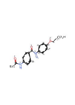 CCC(=O)Nc1ccc(C(=O)Nc2ccc(OCC(=O)O)cc2)cc1